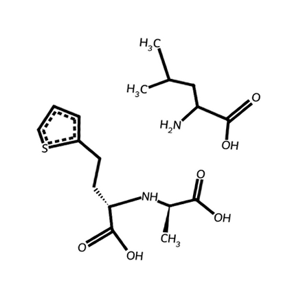 CC(C)CC(N)C(=O)O.C[C@@H](N[C@@H](CCc1cccs1)C(=O)O)C(=O)O